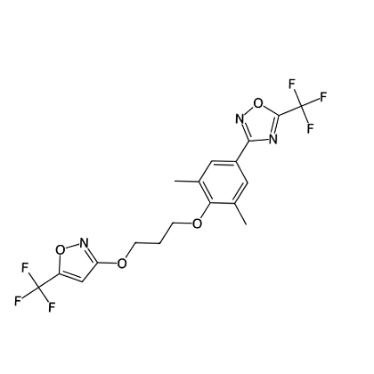 Cc1cc(-c2noc(C(F)(F)F)n2)cc(C)c1OCCCOc1cc(C(F)(F)F)on1